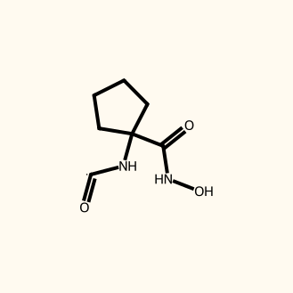 O=[C]NC1(C(=O)NO)CCCC1